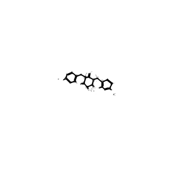 COc1ccc2c(c1)O[C@@H]1[C@H](C2)C(=O)[C@H]2Cc3ccc(OC)cc3O[C@H]2C1(C)C